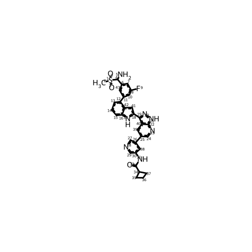 CS(=O)(=O)C(N)c1cc(F)cc(-c2cccc3[nH]c(-c4n[nH]c5ncc(-c6cncc(NC(=O)C7CCC7)c6)cc45)cc23)c1